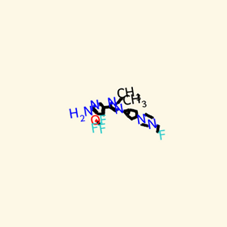 CC(C)c1nc(-c2cnc(N)c(OC(F)(F)F)c2)cn1C1C2CC(N3CCN(CCF)CC3)CC21